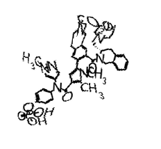 Cc1c(C(=O)N(c2ccc(OP(=O)(O)O)cc2)c2cnn(C)c2)cc(-c2cc3c(cc2C(=O)N2Cc4ccccc4C[C@H]2CN2CCOCC2)CN(C(=O)O)CC3)n1C